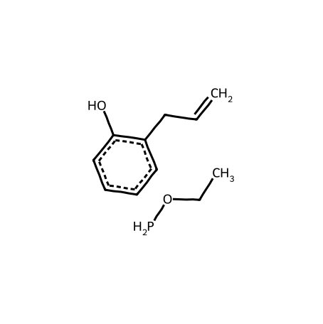 C=CCc1ccccc1O.CCOP